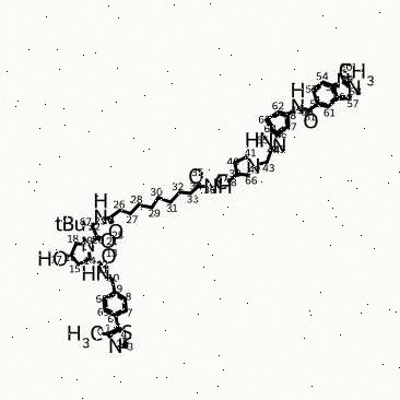 Cc1ncsc1-c1ccc(CNC(=O)[C@@H]2C[C@@H](O)CN2C(=O)[C@@H](NC(=O)CCCCCCCCC(=O)NCCC2CCN(Cc3nc4cc(NC(=O)c5ccc6c(cnn6C)c5)ccc4[nH]3)C2)C(C)(C)C)cc1